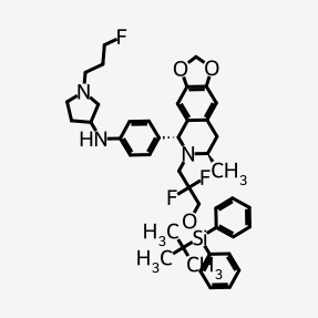 C[C@@H]1Cc2cc3c(cc2[C@@H](c2ccc(NC4CCN(CCCF)C4)cc2)N1CC(F)(F)CO[Si](c1ccccc1)(c1ccccc1)C(C)(C)C)OCO3